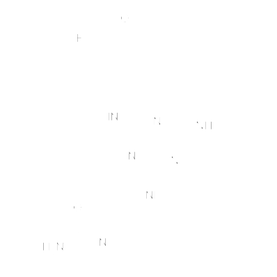 COc1ccc(Nc2nc(NCC3CCCN3C(N)=O)nc(NC3CCCCCC3)n2)cc1F